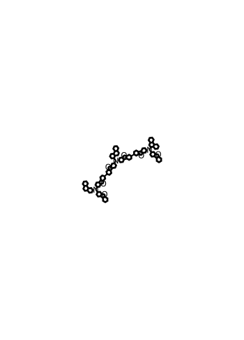 c1ccc2c(c1)ccc1ccc(N(c3ccc4c(c3)oc3ccccc34)c3ccc4c(c3)oc3cc(-c5ccc6c(c5)oc5cc(N(c7ccc8c(c7)oc7cc(-c9ccc%10c(c9)oc9cc(N(c%11ccc%12c(c%11)oc%11ccccc%11%12)c%11cc%12ccccc%12c%12ccccc%11%12)ccc9%10)ccc78)c7cccc8c7ccc7ccccc78)ccc56)ccc34)cc12